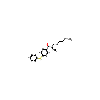 C=C(CCCCCC)C(=O)c1ccc(Sc2ccccc2)cc1